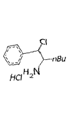 CCCCC(N)C(Cl)c1ccccc1.Cl